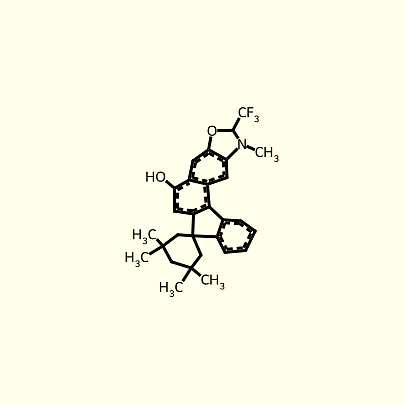 CN1c2cc3c4c(cc(O)c3cc2OC1C(F)(F)F)C1(CC(C)(C)CC(C)(C)C1)c1ccccc1-4